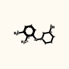 Cc1cccc(ON2CCCC(O)C2)c1C